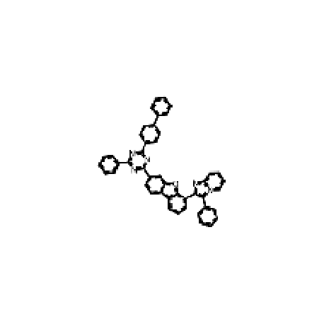 c1ccc(-c2ccc(-c3nc(-c4ccccc4)nc(-c4ccc5c(c4)oc4c(-c6nc7ccccn7c6-c6ccccc6)cccc45)n3)cc2)cc1